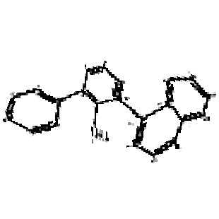 O=[C]c1c(-c2ccccc2)cccc1-c1cccc2ccccc12